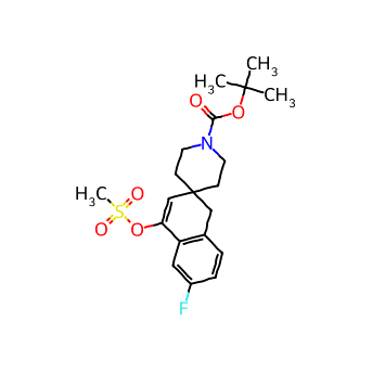 CC(C)(C)OC(=O)N1CCC2(C=C(OS(C)(=O)=O)c3cc(F)ccc3C2)CC1